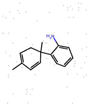 CC1=CCC(C)(c2ccccc2N)C=C1